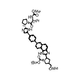 COCC1CC(c2nc3ccc4cc(-c5ccc(-c6cnc([C@@H]7CCCN7C(=O)[C@@H](NC(=O)OC)C(C)C)[nH]6)cc5)ccc4c3[nH]2)N(C(=O)OC(C)(C)C)C1